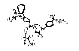 N=C(N)c1ccc(CN2CCN(C(=O)c3ccc(-c4ccccc4S(N)(=O)=O)cc3)CC2=O)cc1.O=C(O)C(F)(F)F